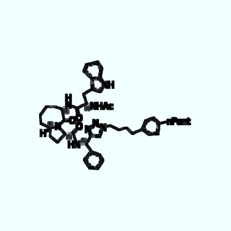 CCCCCc1ccc(CCCCn2cc([C@@H](NC(=O)[C@@H]3CC[C@@H]4CCCC[C@H](NC(=O)[C@H](Cc5c[nH]c6ccccc56)NC(C)=O)C(=O)N43)c3ccccc3)nn2)cc1